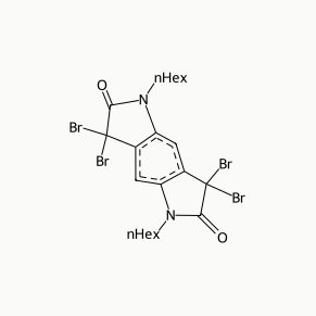 CCCCCCN1C(=O)C(Br)(Br)c2cc3c(cc21)C(Br)(Br)C(=O)N3CCCCCC